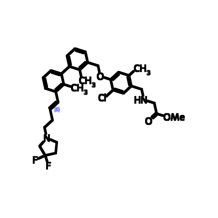 COC(=O)CNCc1cc(Cl)c(OCc2cccc(-c3cccc(/C=C/CCN4CCC(F)(F)C4)c3C)c2C)cc1C